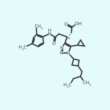 CCC(C)CC1CC(n2nnc([C@@H](CC(=O)O)CC(=O)Nc3ccc(C)cc3C)c2C2CC2)C1